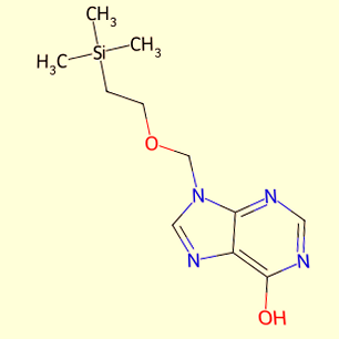 C[Si](C)(C)CCOCn1cnc2c(O)ncnc21